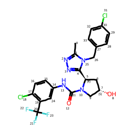 Cc1nnc([C@H]2C[C@H](O)CN2C(=O)Nc2ccc(Cl)c(C(F)(F)F)c2)n1Cc1ccc(Cl)cc1